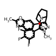 Cc1nc2ccc(C(=O)N3C4CCC3c3nn(C)c(-c5cc(F)c(F)c(F)c5)c3C4)cc2o1